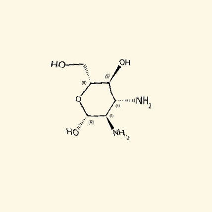 N[C@@H]1[C@@H](N)[C@H](O)O[C@H](CO)[C@H]1O